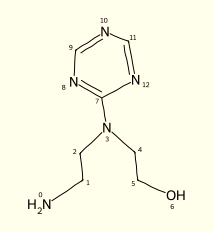 NCCN(CCO)c1ncncn1